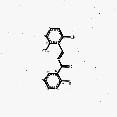 O=C(/C=C/c1c(Cl)cccc1Cl)c1ccccc1Cl